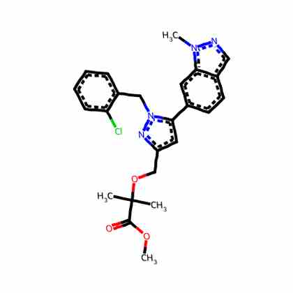 COC(=O)C(C)(C)OCc1cc(-c2ccc3cnn(C)c3c2)n(Cc2ccccc2Cl)n1